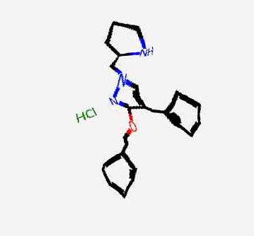 Cl.c1ccc(COc2nn(C[C@H]3CCCN3)cc2-c2ccccc2)cc1